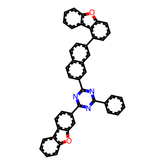 c1ccc(-c2nc(-c3ccc4ccc(-c5cccc6oc7ccccc7c56)cc4c3)nc(-c3ccc4c(c3)oc3ccccc34)n2)cc1